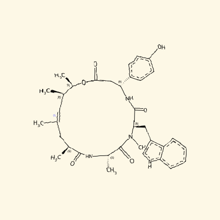 C/C1=C\[C@@H](C)[C@@H](C)OC(=O)C[C@H](c2ccc(O)cc2)NC(=O)[C@@H](Cc2c[nH]c3ccccc23)N(C)C(=O)[C@H](C)NC(=O)[C@@H](C)C1